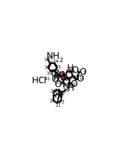 CC(C)(C)[C@]1(O)C[C@@H]2OC(=O)C[C@@]23C(=O)O[C@@H]2N(CC4C5CC6CC(C5)CC4C6)C(=O)[C@H](OC(=O)c4ccc(CN)cc4)[C@]213.Cl